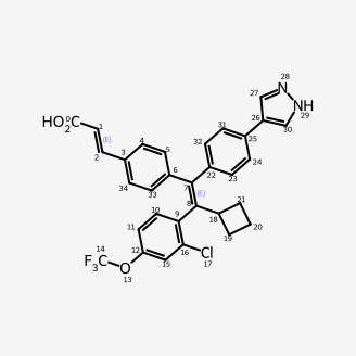 O=C(O)/C=C/c1ccc(/C(=C(\c2ccc(OC(F)(F)F)cc2Cl)C2CCC2)c2ccc(-c3cn[nH]c3)cc2)cc1